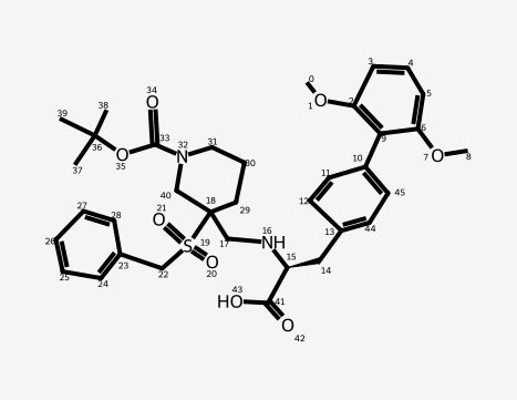 COc1cccc(OC)c1-c1ccc(C[C@H](NCC2(S(=O)(=O)Cc3ccccc3)CCCN(C(=O)OC(C)(C)C)C2)C(=O)O)cc1